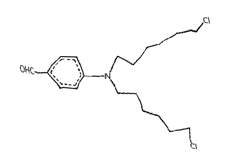 O=Cc1ccc(N(CCCCCCCl)CCCCCCCl)cc1